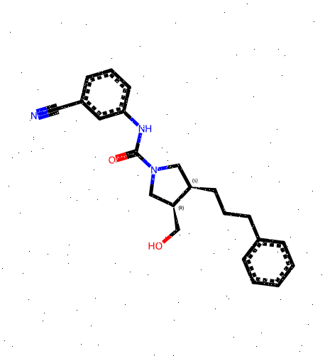 N#Cc1cccc(NC(=O)N2C[C@@H](CCCc3ccccc3)[C@@H](CO)C2)c1